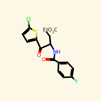 CCOC(=O)CC(NC(=O)c1ccc(F)cc1)C(=O)c1ccc(Cl)s1